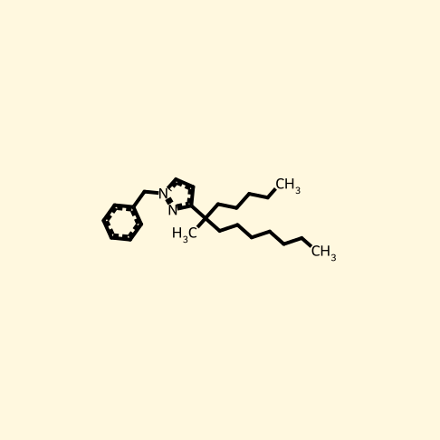 CCCCCCCC(C)(CCCCC)c1ccn(Cc2ccccc2)n1